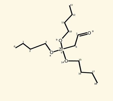 CCCC[O][Zr]([CH2][C]=O)([O]CCCC)[O]CCCC